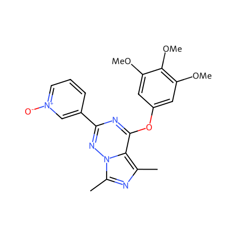 COc1cc(Oc2nc(-c3ccc[n+]([O-])c3)nn3c(C)nc(C)c23)cc(OC)c1OC